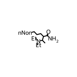 CCCCCCCCCCCCC(C(N)=O)C(C)N(CC)CC